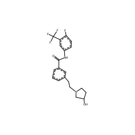 O=C(Nc1ccc(F)c(C(F)(F)F)c1)c1cccc(CCN2CCC(O)C2)c1